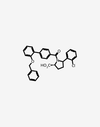 O=C(O)[C@@H]1CCC(c2ccccc2Cl)N1C(=O)c1ccc(-c2ccccc2OCc2ccccc2)cc1